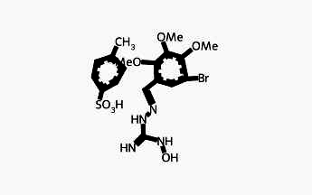 COc1c(Br)cc(/C=N/NC(=N)NO)c(OC)c1OC.Cc1ccc(S(=O)(=O)O)cc1